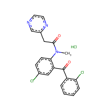 CN(C(=O)Cc1cnccn1)c1ccc(Cl)cc1C(=O)c1ccccc1Cl.Cl